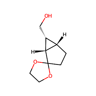 OC[C@@H]1[C@@H]2CCC3(OCCO3)[C@H]12